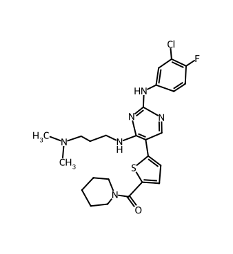 CN(C)CCCNc1nc(Nc2ccc(F)c(Cl)c2)ncc1-c1ccc(C(=O)N2CCCCC2)s1